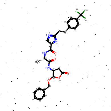 C[C@H](NC(=O)c1c[nH]c(CCc2ccc(C(F)(F)F)cc2)n1)C(=O)NC1CC(=O)OC1OCc1ccccc1